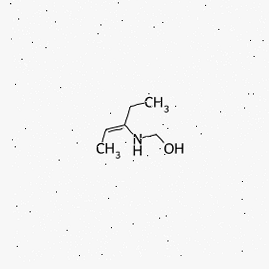 CC=C(CC)NCO